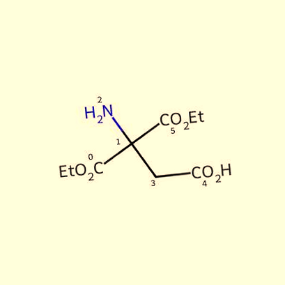 CCOC(=O)C(N)(CC(=O)O)C(=O)OCC